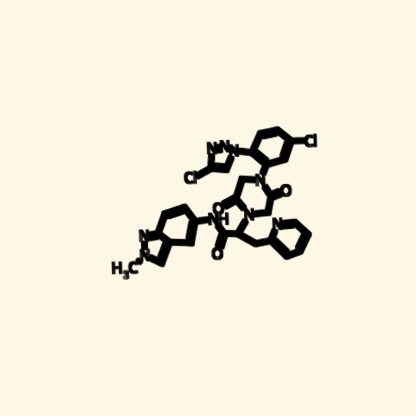 Cn1cc2cc(NC(=O)C(Cc3ccccn3)N3CC(=O)N(c4cc(Cl)ccc4-n4cc(Cl)nn4)CC3=O)ccc2n1